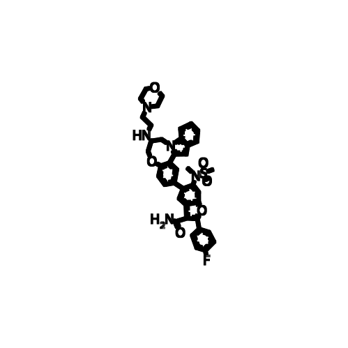 CN(c1cc2oc(-c3ccc(F)cc3)c(C(N)=O)c2cc1-c1ccc2c(c1)-c1cc3ccccc3n1CC(NCCN1CCOCC1)CO2)S(C)(=O)=O